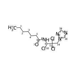 CCCCCCC(=O)NC(Cl)C(Cl)(Cl)Cn1cncn1